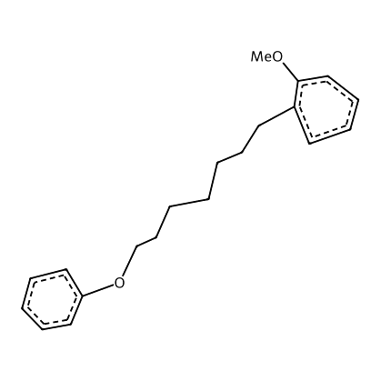 COc1ccccc1CCCCCCCOc1ccccc1